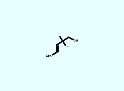 CCC(C=CC=O)(CC)CO